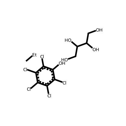 CCC.OCC(O)C(O)CO.Oc1c(Cl)c(Cl)c(Cl)c(Cl)c1Cl